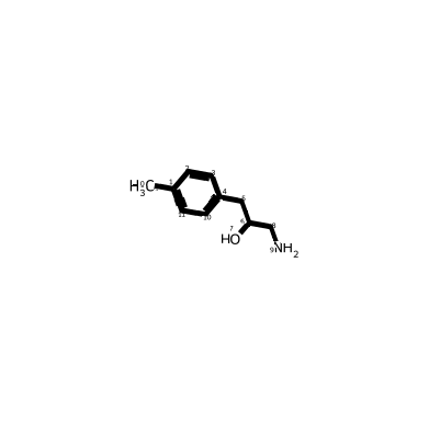 Cc1ccc(CC(O)CN)cc1